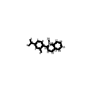 Cc1cc(C(C)C)ccc1-c1ccc2ccccc2[n+]1C